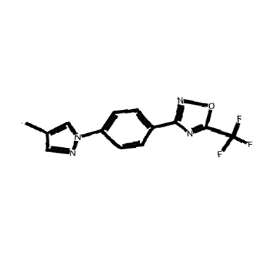 [CH2]c1cnn(-c2ccc(-c3noc(C(F)(F)F)n3)cc2)c1